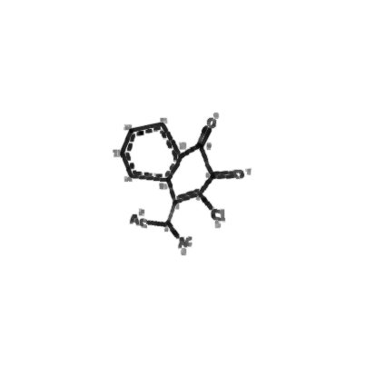 CC(=O)C(C(C)=O)C1=C(Cl)C(=O)C(=O)c2ccccc21